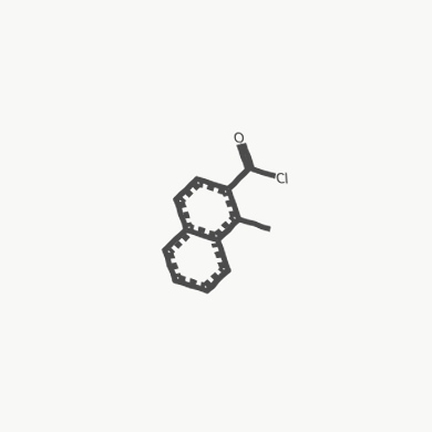 Cc1c(C(=O)Cl)ccc2ccccc12